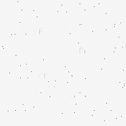 O=S(=O)=Nc1c(Cl)cc(F)c(Cl)c1Br